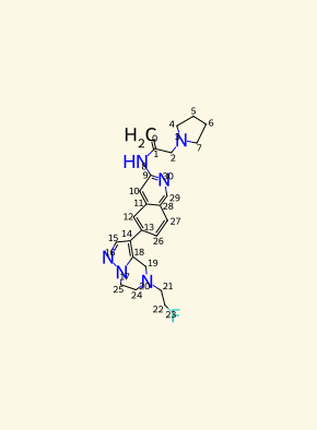 C=C(CN1CCCC1)Nc1cc2cc(-c3cnn4c3CN(CCF)CC4)ccc2cn1